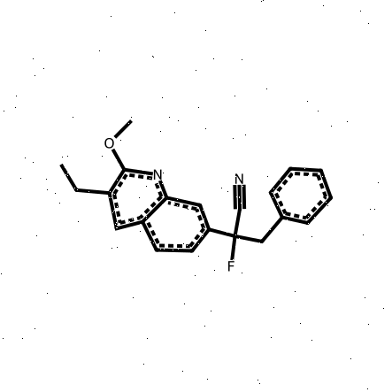 CCc1cc2ccc(C(F)(C#N)Cc3ccccc3)cc2nc1OC